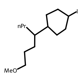 CCCC(CCCOC)C1CCC(I)CC1